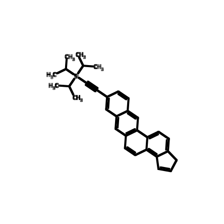 CC(C)[Si](C#Cc1ccc2cc3c(ccc4c5c(ccc43)CC=C5)cc2c1)(C(C)C)C(C)C